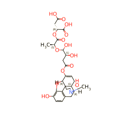 C[C@H](OC(O)[C@@H](O)CC(=O)OC1=CC[C@@]2(O)[C@H]3Cc4ccc(O)c5c4C2(CCN3C)[C@H]1O5)C(=O)O[C@H](CC(=O)O)C(=O)O